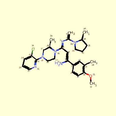 C=C(/N=C(\C=C(/N)c1ccc(OC)c(C)c1)N1CCN(c2ncccc2Cl)C[C@H]1C)N1CCCC1C